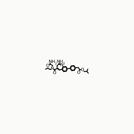 CCCN(CC(N)=O)C(=O)C1=Cc2ccc(-c3ccc(CC(=O)OCC(C)C)cc3)cc2N=C(N)C1